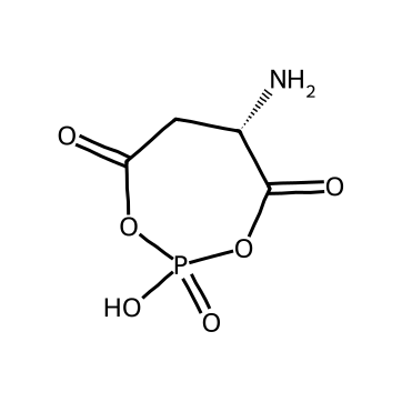 N[C@H]1CC(=O)OP(=O)(O)OC1=O